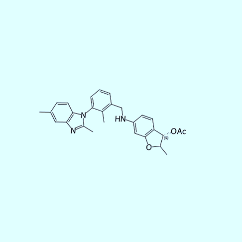 CC(=O)O[C@H]1c2ccc(NCc3cccc(-n4c(C)nc5cc(C)ccc54)c3C)cc2OC1C